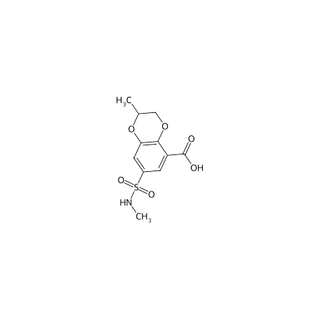 CNS(=O)(=O)c1cc2c(c(C(=O)O)c1)OCC(C)O2